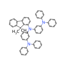 CC1(C)c2ccccc2-c2cccc(N(c3cccc(N(c4ccccc4)c4ccccc4)c3)c3cccc(N(c4ccccc4)c4ccccc4)c3)c21